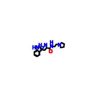 NC(Cc1c[nH]c2ccccc12)C(=O)NCCN1CCCC1